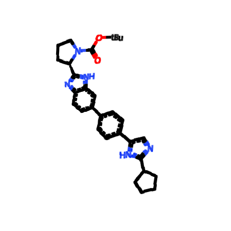 CC(C)(C)OC(=O)N1CCC[C@@H]1c1nc2ccc(-c3ccc(-c4cnc(C5CCCC5)[nH]4)cc3)cc2[nH]1